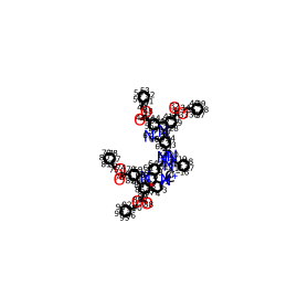 [C-]#[N+]c1ccccc1-c1cc(-c2nc(-c3ccccc3)nc(-c3ccc(-n4c5ccc(C(=O)OCc6ccccc6)cc5c5cc(C(=O)OCc6ccccc6)ccc54)c(C#N)c3)n2)ccc1-n1c2ccc(C(=O)OCc3ccccc3)cc2c2cc(C(=O)OCc3ccccc3)ccc21